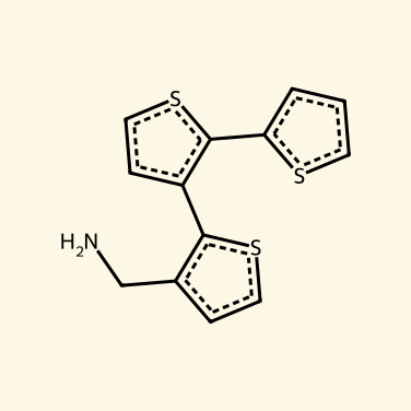 NCc1ccsc1-c1ccsc1-c1cccs1